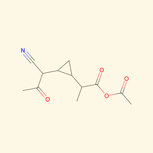 CC(=O)OC(=O)C(C)C1CC1C(C#N)C(C)=O